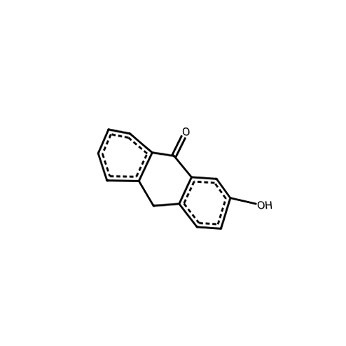 O=C1c2ccccc2Cc2ccc(O)cc21